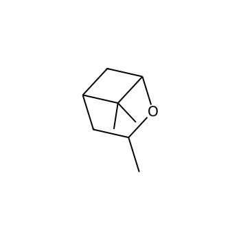 CC1CC2CC(O1)C2(C)C